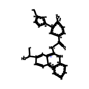 CC(O)C1=C/C(=C(\NC(=O)c2ccc(C(F)(F)F)c(-c3ccn(C)n3)c2)Nc2ccccc2)C(=N)C=C1